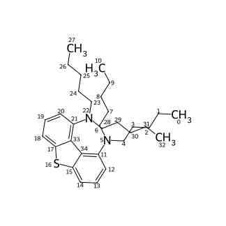 CCCCCN(CCCCC)c1cccc2sc3cccc(N(CCCCC)CCCCC)c3c12